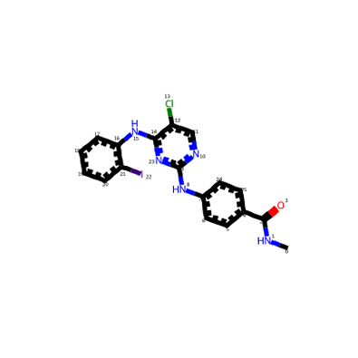 CNC(=O)c1ccc(Nc2ncc(Cl)c(Nc3ccccc3I)n2)cc1